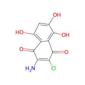 NC1=C(Cl)C(=O)c2c(O)c(O)cc(O)c2C1=O